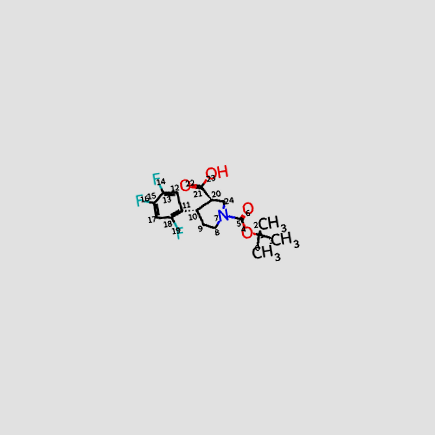 CC(C)(C)OC(=O)N1CC[C@H](c2cc(F)c(F)cc2F)[C@@H](C(=O)O)C1